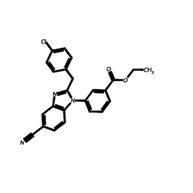 CCOC(=O)c1cccc(-n2c(Cc3ccc(Cl)cc3)nc3cc(C#N)ccc32)c1